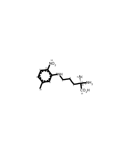 CC(=O)[C@@](N)(CCCNc1cc(C)ccc1[N+](=O)[O-])C(=O)O